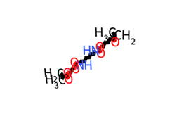 C=C(C)C(=O)CCCCOC(=O)NCCCCCCNC(=O)OCCOC(=O)C(=C)C